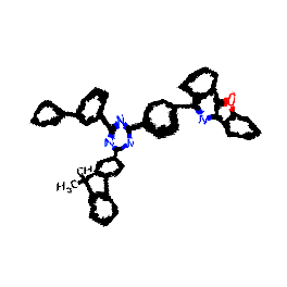 CC1(C)c2ccccc2-c2ccc(-c3nc(-c4ccc(-c5nc6c7ccccc7oc6c6ccccc56)cc4)nc(-c4cccc(-c5ccccc5)c4)n3)cc21